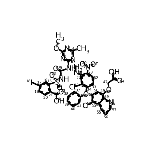 COc1nc(C)nc(NC(=O)NS(=O)(=O)c2cc(I)ccc2C(=O)O)n1.Nc1c([N+](=O)[O-])ccc(Oc2ccccc2)c1Cl.O=C(O)COc1ccc(Cl)c2cccnc12